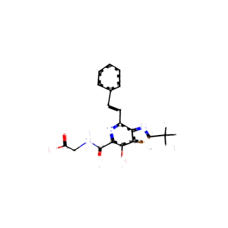 CC(C)(C)c1nc2c(/C=C/c3ccccc3)nc(C(=O)NCC(=O)O)c(O)c2s1